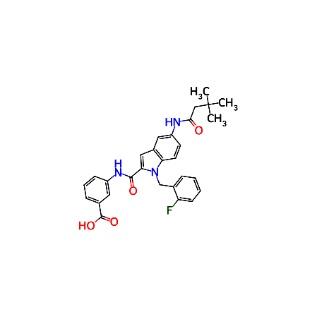 CC(C)(C)CC(=O)Nc1ccc2c(c1)cc(C(=O)Nc1cccc(C(=O)O)c1)n2Cc1ccccc1F